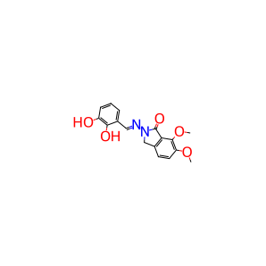 COc1ccc2c(c1OC)C(=O)N(N=Cc1cccc(O)c1O)C2